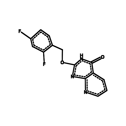 O=c1[nH]c(OCc2ccc(F)cc2F)nc2ncccc12